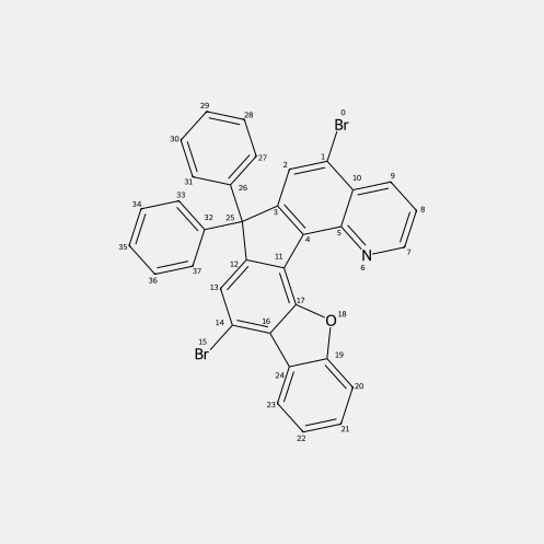 Brc1cc2c(c3ncccc13)-c1c(cc(Br)c3c1oc1ccccc13)C2(c1ccccc1)c1ccccc1